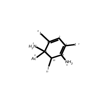 CC(=O)C1(N)C(I)=CC(I)=C(N)C1I